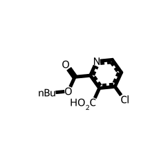 CCCCOC(=O)c1nccc(Cl)c1C(=O)O